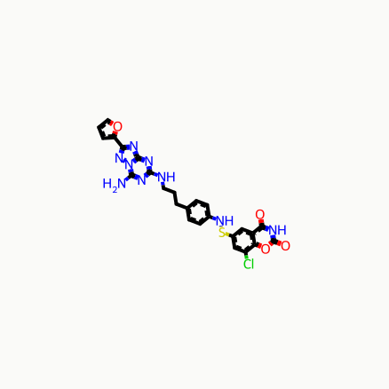 Nc1nc(NCCCc2ccc(NSc3cc(Cl)c4oc(=O)[nH]c(=O)c4c3)cc2)nc2nc(-c3ccco3)nn12